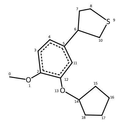 COc1ccc(C2CCSC2)cc1OC1CCCC1